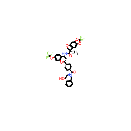 C[C@]1(C(=O)N[C@@H]2C[C@H]([C@H]3CC[C@H](C(=O)N(CCO)Cc4ccccc4)CC3)Oc3cc(OC(F)(F)F)ccc32)COc2cc3c(cc21)OC(F)(F)O3